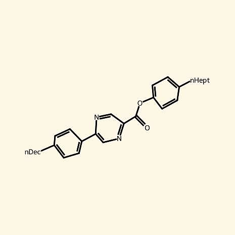 CCCCCCCCCCc1ccc(-c2cnc(C(=O)Oc3ccc(CCCCCCC)cc3)cn2)cc1